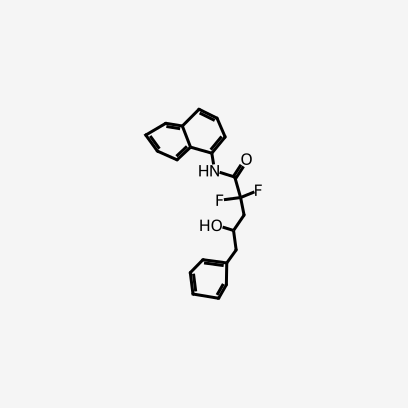 O=C(Nc1cccc2ccccc12)C(F)(F)CC(O)Cc1ccccc1